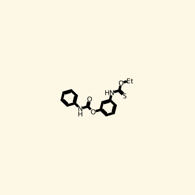 CCOC(=S)Nc1cccc(OC(=O)Nc2ccccc2)c1